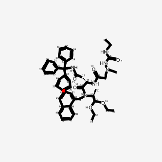 CCNC(=O)NN(C)CC(=O)N[C@@H](CC(=O)NC(c1ccccc1)(c1ccccc1)c1ccccc1)C(=O)N(Cc1cccc2ccccc12)[C@@H](C)C(OCC)OCC